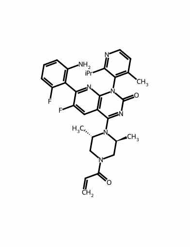 C=CC(=O)N1C[C@H](C)N(c2nc(=O)n(-c3c(C)ccnc3C(C)C)c3nc(-c4c(N)cccc4F)c(F)cc23)[C@@H](C)C1